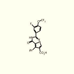 CC(C)c1c(C(=O)O)cn2nc(-c3ccc(OC(F)(F)F)c(F)c3)[nH]c(=O)c12